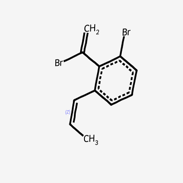 C=C(Br)c1c(Br)cccc1/C=C\C